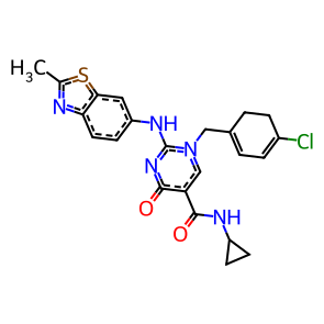 Cc1nc2ccc(Nc3nc(=O)c(C(=O)NC4CC4)cn3CC3=CC=C(Cl)CC3)cc2s1